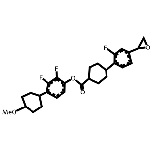 COC1CCC(c2ccc(OC(=O)C3CCC(c4ccc(C5CO5)cc4F)CC3)c(F)c2F)CC1